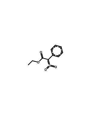 CCOC(=O)C(c1ccccc1)=S(=O)=O